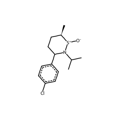 CC(C)N1C(c2ccc(Cl)cc2)CC[C@@H](C)[S+]1[O-]